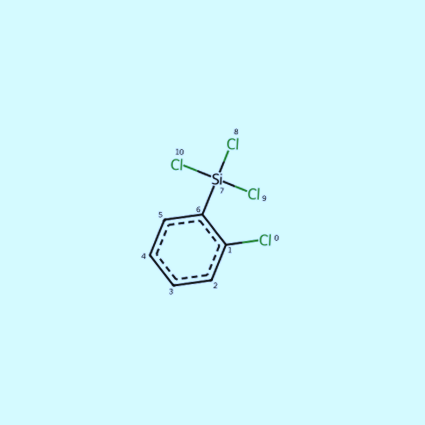 Clc1ccccc1[Si](Cl)(Cl)Cl